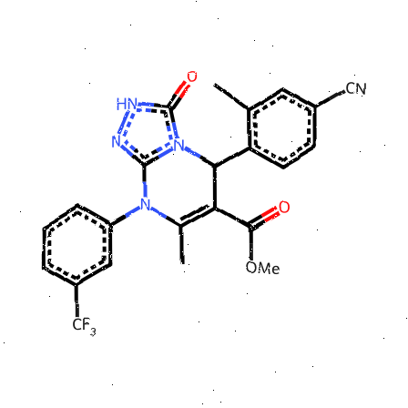 COC(=O)C1=C(C)N(c2cccc(C(F)(F)F)c2)c2n[nH]c(=O)n2C1c1ccc(C#N)cc1C